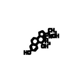 CC(=NO)C1CCC2C3CCc4cc(O)ccc4C3[C@@H](O)C[C@]12C